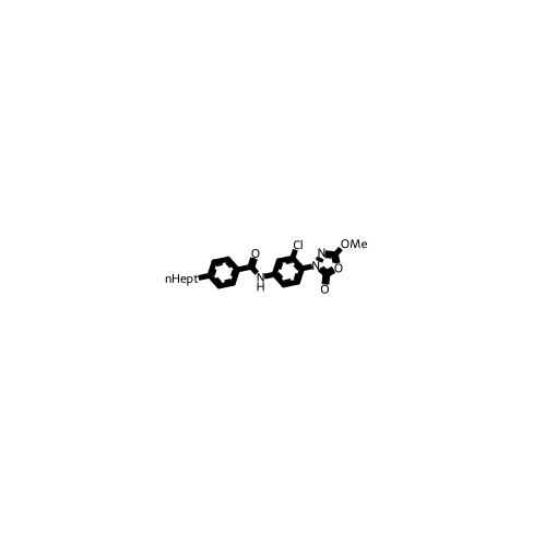 CCCCCCCc1ccc(C(=O)Nc2ccc(-n3nc(OC)oc3=O)c(Cl)c2)cc1